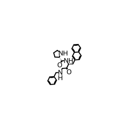 O=C(CNCc1ccccc1)[C@H](Cc1ccc2ccccc2c1)NC(=O)[C@@H]1CCCN1